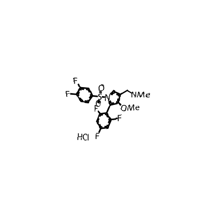 CNCc1cn(S(=O)(=O)c2ccc(F)c(F)c2)c(-c2c(F)cc(F)cc2F)c1OC.Cl